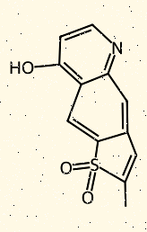 CC1=Cc2cc3nccc(O)c3cc2S1(=O)=O